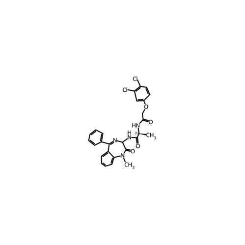 C[C@H](NC(=O)COc1ccc(Cl)c(Cl)c1)C(=O)NC1N=C(c2ccccc2)c2ccccc2N(C)C1=O